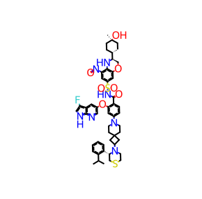 CC(C)c1ccccc1[C@H]1CSCCN1C1CC2(CCN(c3ccc(C(=O)NS(=O)(=O)c4cc(N=O)c5c(c4)OC[C@H]([C@H]4CC[C@](C)(O)CC4)N5)c(Oc4cnc5[nH]cc(F)c5c4)c3)CC2)C1